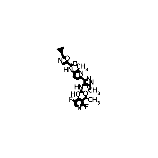 Cc1nc(-c2nnn(C)c2NC(O)O[C@H](C)c2cc(F)cnc2F)ccc1NC(=O)c1cnc(C2CC2)o1